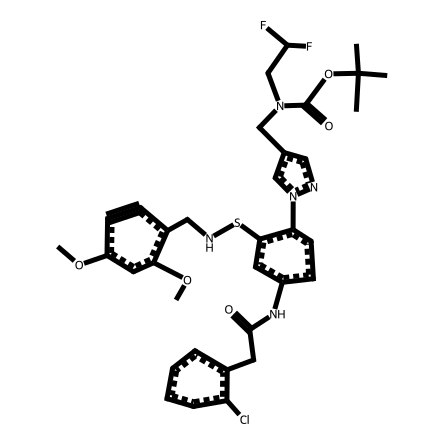 COc1c#cc(CNSc2cc(NC(=O)Cc3ccccc3Cl)ccc2-n2cc(CN(CC(F)F)C(=O)OC(C)(C)C)cn2)c(OC)c1